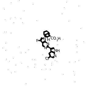 O=C(O)C1C2CCC(CC2)[C@H]1n1cc(F)c2cnc(-c3c[nH]c4ncc(Cl)cc34)nc21